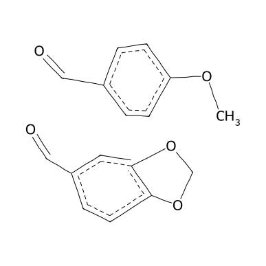 COc1ccc(C=O)cc1.O=Cc1ccc2c(c1)OCO2